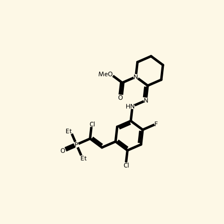 CCP(=O)(CC)C(Cl)=Cc1cc(NN=C2CCCCN2C(=O)OC)c(F)cc1Cl